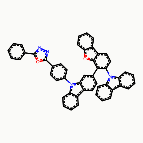 c1ccc(-c2nnc(-c3ccc(-n4c5ccccc5c5ccc(-c6c(-n7c8ccccc8c8ccccc87)ccc7c6oc6ccccc67)cc54)cc3)o2)cc1